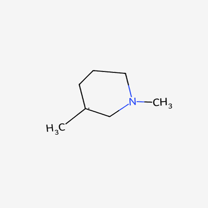 C[C]1CCCN(C)C1